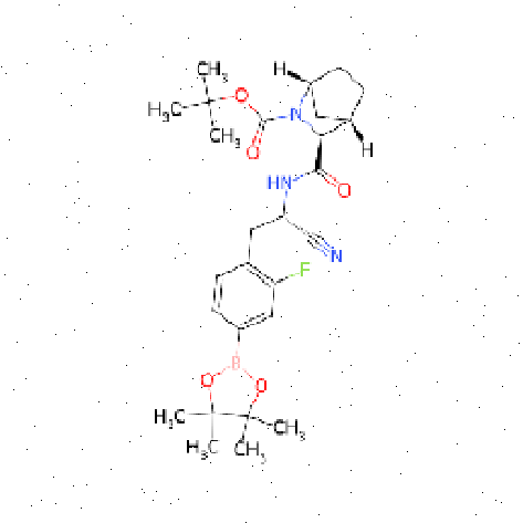 CC(C)(C)OC(=O)N1[C@@H]2CC[C@@H](C2)[C@H]1C(=O)N[C@H](C#N)Cc1ccc(B2OC(C)(C)C(C)(C)O2)cc1F